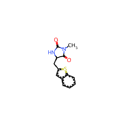 CN1C(=O)NC(Cc2cc3ccccc3s2)C1=O